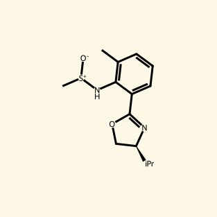 Cc1cccc(C2=N[C@@H](C(C)C)CO2)c1N[S+](C)[O-]